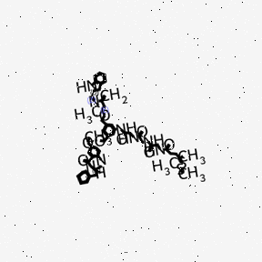 C=C(/C=C(\C)OCc1cc(COc2cc3c(cc2OC)C(=O)N2c4ccccc4C[C@H]2C=N3)cc(NC(=O)CNC(=O)CNC(=O)CNC(=O)CCC(C)(C)SSC)c1)/N=C\[C@@H]1Cc2ccccc2N1